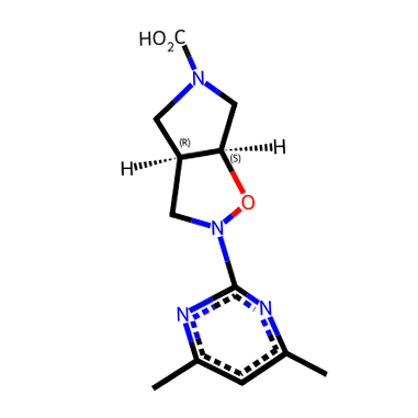 Cc1cc(C)nc(N2C[C@H]3CN(C(=O)O)C[C@H]3O2)n1